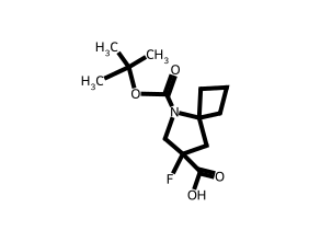 CC(C)(C)OC(=O)N1CC(F)(C(=O)O)CC12CCC2